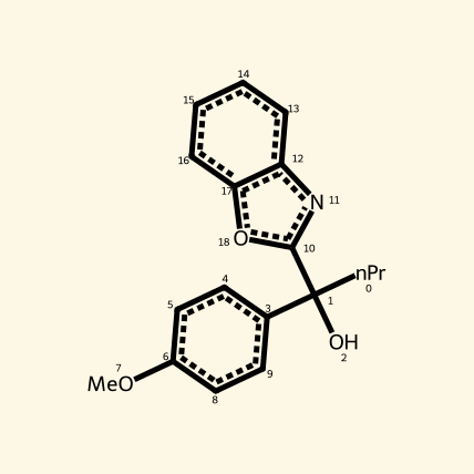 CCCC(O)(c1ccc(OC)cc1)c1nc2ccccc2o1